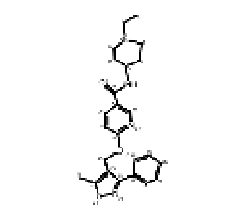 CCN1CCC(NC(=O)c2ccc(OCc3c(-c4ccccc4)noc3C)nc2)CC1